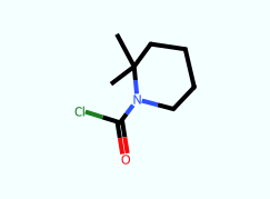 CC1(C)CCCCN1C(=O)Cl